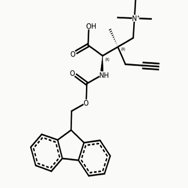 C#CC[C@](C)(C[N+](C)(C)C)[C@@H](NC(=O)OCC1c2ccccc2-c2ccccc21)C(=O)O